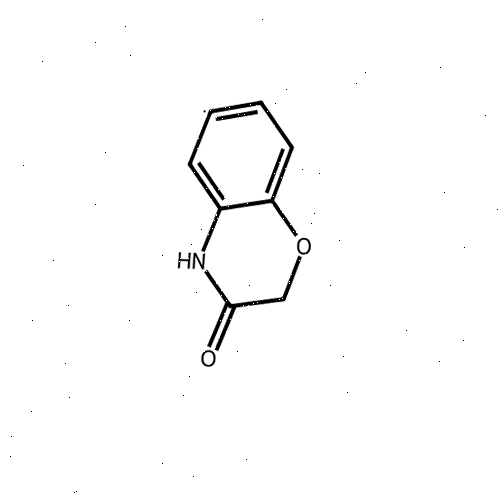 O=C1COc2cc[c]cc2N1